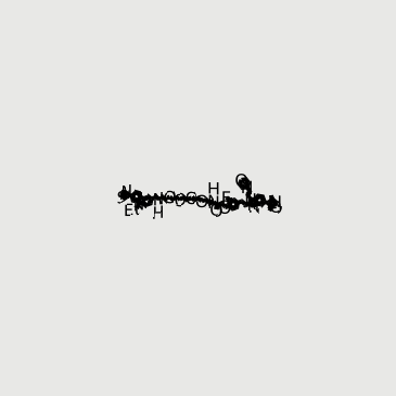 CCn1c2ccc(CNCCOCCOCCOCCOCCNC(=O)COc3ccc(CCc4nc5cc(-c6c(C)noc6C)ccc5n4CCN4CCOCC4)cc3F)cc2c2ccc(-c3cscn3)cc21